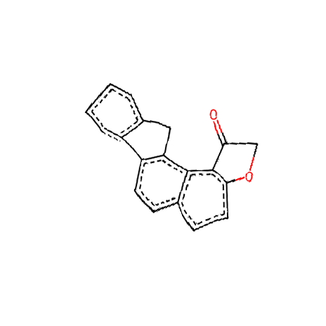 O=C1COc2ccc3ccc4c(c3c21)Cc1ccccc1-4